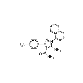 Cc1ccc(-c2nn(-c3cccc4ccccc34)c(N)c2C(N)=O)cc1